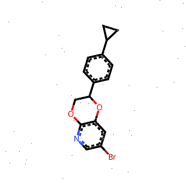 Brc1cnc2c(c1)OC(c1ccc(C3CC3)cc1)CO2